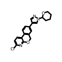 Clc1ccc2c(n1)OCc1cc(-c3cnn(C4CCCCO4)c3)ccc1-2